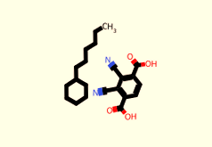 CCCCCCC1CCCCC1.N#Cc1c(C(=O)O)ccc(C(=O)O)c1C#N